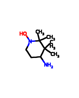 CC1(C)C(N)CCN(O)C1(C)C